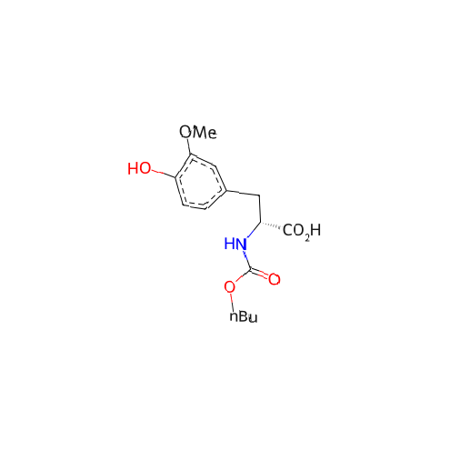 CCCCOC(=O)N[C@H](Cc1ccc(O)c(OC)c1)C(=O)O